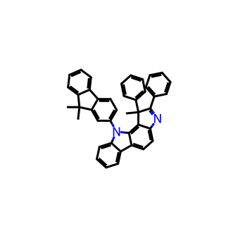 CC1(C)c2ccccc2-c2ccc(-n3c4ccccc4c4ccc5c(c43)C(C)(c3ccccc3)C(c3ccccc3)=N5)cc21